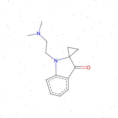 CN(C)CCN1c2ccccc2C(=O)C12CC2